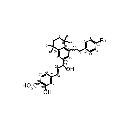 CC1(C)CCC(C)(C)c2c(OCc3ccc(F)cc3)cc(C(O)/C=C/c3ccc(C(=O)O)c(O)c3)cc21